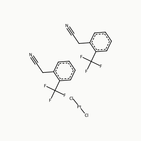 N#CCc1ccccc1C(F)(F)F.N#CCc1ccccc1C(F)(F)F.[Cl][Pt][Cl]